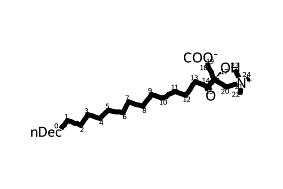 CCCCCCCCCCCCCCCCCCCCCCCC(=O)[C@@](O)(CC(=O)[O-])C[N+](C)(C)C